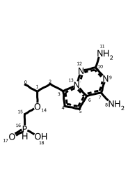 CC(Cc1ccc2c(N)nc(N)nn12)OC[PH](=O)O